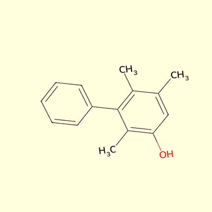 Cc1cc(O)c(C)c(-c2ccccc2)c1C